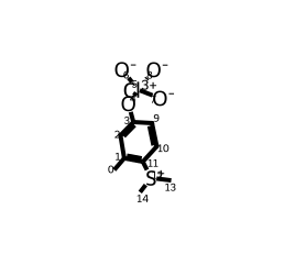 Cc1cc(O[Cl+3]([O-])([O-])[O-])ccc1[S+](C)C